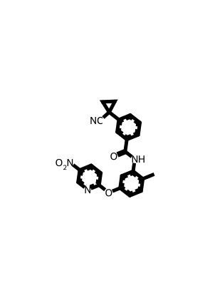 Cc1ccc(Oc2ccc([N+](=O)[O-])cn2)cc1NC(=O)c1cccc(C2(C#N)CC2)c1